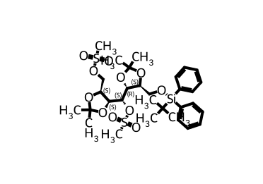 CC1(C)O[C@H]([C@@H](OS(C)(=O)=O)[C@@H]2OC(C)(C)O[C@H]2CO[Si](c2ccccc2)(c2ccccc2)C(C)(C)C)[C@H](COS(C)(=O)=O)O1